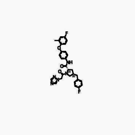 Cc1cc(F)ccc1Oc1ccc(NC(=O)[C@@H]2C[C@@H](Cc3ccc(F)cc3)CN2C(=O)Cn2cncn2)cc1